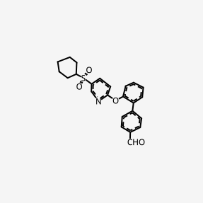 O=Cc1ccc(-c2ccccc2Oc2ccc(S(=O)(=O)C3CCCCC3)cn2)cc1